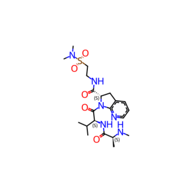 CN[C@@H](C)C(=O)N[C@H](C(=O)N1c2ncccc2C[C@H]1C(=O)NCCS(=O)(=O)N(C)C)C(C)C